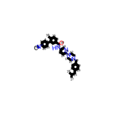 [C-]#[N+]c1ccc(-c2cc(C(=O)Nc3ccc(N4CCN(Cc5ccc(CC(C)C)cc5)CC4)nc3)ccc2C)cc1